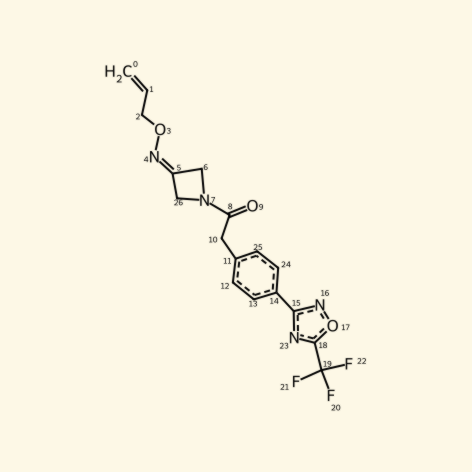 C=CCON=C1CN(C(=O)Cc2ccc(-c3noc(C(F)(F)F)n3)cc2)C1